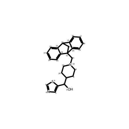 OC(c1cncs1)C1CCN(CC23CC(c4ccccc42)c2ccccc23)CC1